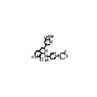 CNc1ncc(-c2cc3cc[nH]c(=O)c3c(Nc3ccc(N4CCO[C@H](C)C4)nc3)n2)cc1C